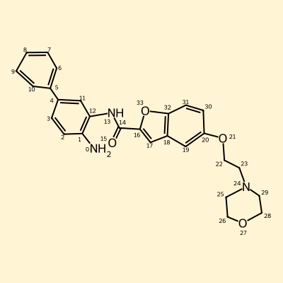 Nc1ccc(-c2ccccc2)cc1NC(=O)c1cc2cc(OCCN3CCOCC3)ccc2o1